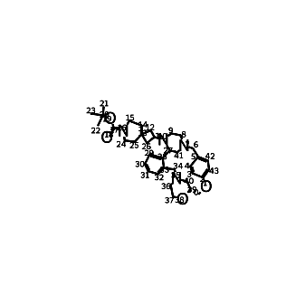 COc1ccc(CN2CCN(C3CC4(CCN(C(=O)OC(C)(C)C)CC4)C3)C(c3ccccc3CN3CCOCC3)C2)cc1